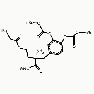 CCCCOC(=O)Oc1ccc(C[C@](N)(CCOC(=O)CC(C)CC)C(=O)OC)cc1OC(=O)OCCCC